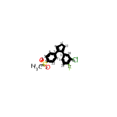 CS(=O)(=O)c1ccc(C2=CCC=C2c2ccc(F)c(Cl)c2)cc1